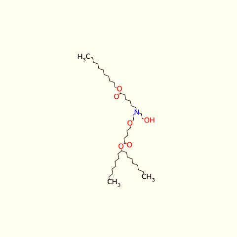 CCCCCCCCCCCOC(=O)CCCCCN(CCO)CCOCCCCC(=O)OC(CCCCCCCC)CCCCCCCC